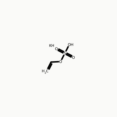 C=COS(=O)(=O)O.[KH]